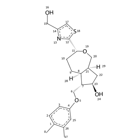 Cc1ccc(OC[C@@H]2[C@H]3CC[C@H](c4nc(CO)cs4)OC[C@H]3C[C@H]2O)cc1C